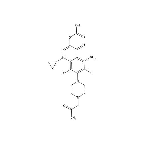 CC(=O)CN1CCN(c2c(F)c(N)c3c(=O)c(OC(=O)O)cn(C4CC4)c3c2F)CC1